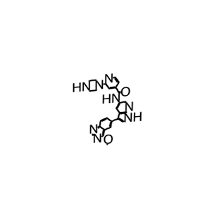 COc1ncnc2ccc(-c3c[nH]c4ncc(NC(=O)c5ccnc(N6CCNCC6)c5)cc34)cc12